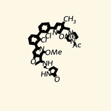 COc1nc(-c2cccc(-c3cccc(-c4cc5c(c(OC)n4)C(NC[C@@H]4CCC(=O)N4)CO5)c3Cl)c2Cl)cc(C)c1CN1CCN(C(C)=O)CC1